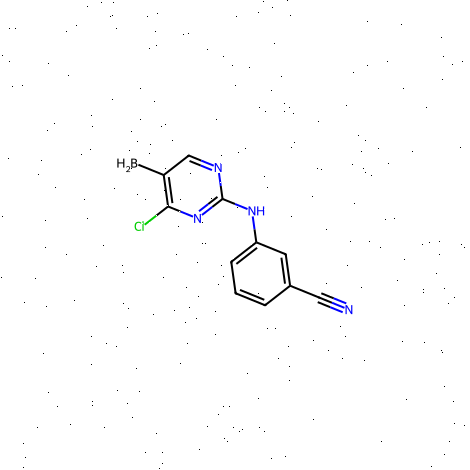 Bc1cnc(Nc2cccc(C#N)c2)nc1Cl